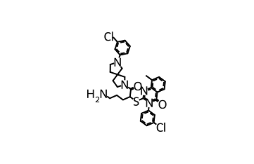 Cc1cccc2c(=O)n(-c3cccc(Cl)c3)c(SC(CCCN)C(=O)N3CCC4(CCN(c5cccc(Cl)c5)C4)C3)nc12